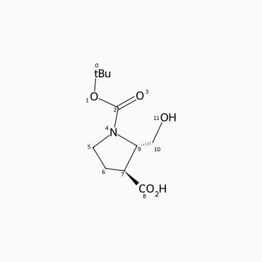 CC(C)(C)OC(=O)N1CC[C@H](C(=O)O)[C@H]1CO